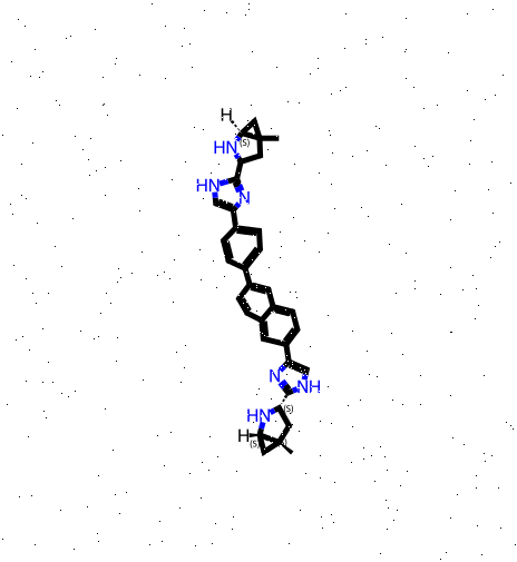 CC12CC(c3nc(-c4ccc(-c5ccc6cc(-c7c[nH]c([C@@H]8C[C@]9(C)C[C@@H]9N8)n7)ccc6c5)cc4)c[nH]3)N[C@H]1C2